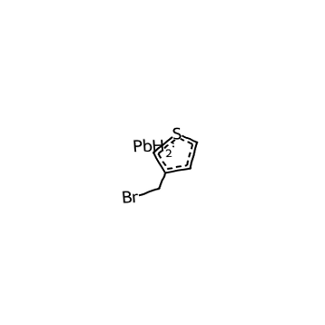 BrCc1ccsc1.[PbH2]